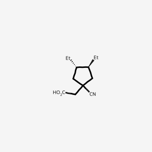 CC[C@H]1CC(C#N)(CC(=O)O)C[C@@H]1CC